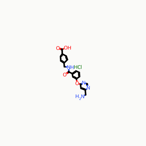 Cl.NCc1cc(Oc2cccc(C(=O)NCc3ccc(C(=O)O)cc3)c2)ncn1